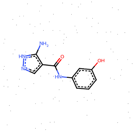 Nc1[nH]ncc1C(=O)Nc1cccc(O)c1